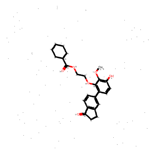 COc1c(O)ccc(-c2ccc3c(c2)CCC3=O)c1OCCOC(=O)C1CCCCC1